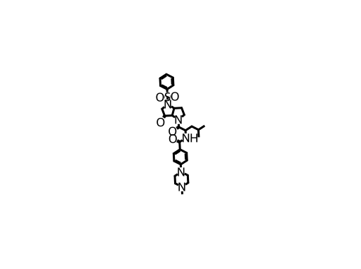 CC(C)CC(NC(=O)c1ccc(N2CCN(C)CC2)cc1)C(=O)N1CCC2C1C(=O)CN2S(=O)(=O)c1ccccc1